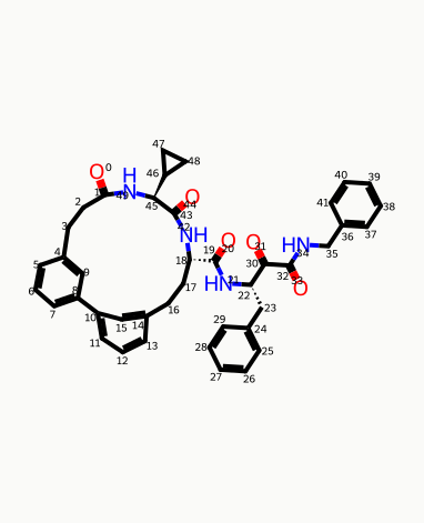 O=C1CCc2cccc(c2)-c2cccc(c2)CC[C@@H](C(=O)N[C@@H](Cc2ccccc2)C(=O)C(=O)NCc2ccccc2)NC(=O)[C@H](C2CC2)N1